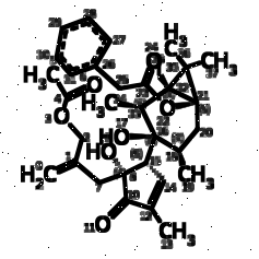 C=C(COC(C)=O)C[C@]1(O)C(=O)C(C)=C[C@H]1[C@@]1(O)[C@H](C)C[C@]2(OC(=O)Cc3ccccc3)[C@H]([C@@H]1C)C2(C)C